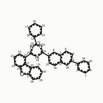 c1ccc(-c2ccc3cc(-c4nc(-c5ccccc5)nc(-c5cccc6oc7ccccc7c56)n4)ccc3c2)cc1